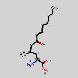 CCCCCCCC(=O)CC(C)C[C@H](N)C(=O)O